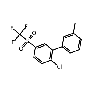 Cc1cccc(-c2cc(S(=O)(=O)C(F)(F)F)c[c]c2Cl)c1